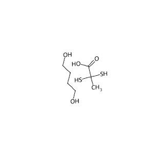 CC(S)(S)C(=O)O.OCCCCO